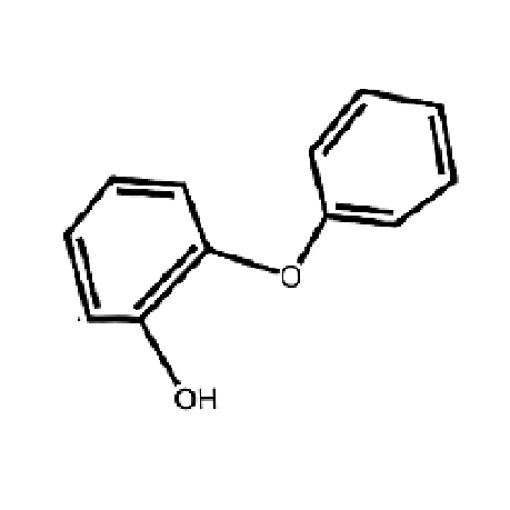 Oc1[c]cccc1Oc1ccccc1